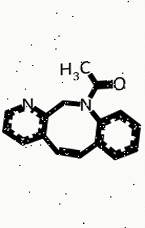 CC(=O)N1Cc2ncccc2C=Cc2ccccc21